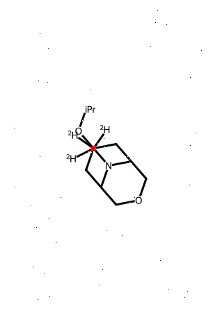 [2H]C([2H])([2H])N1C2COCC1CC(OC(C)C)C2